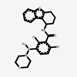 CC(=O)N(c1ccc(Cl)c(C(=O)NC2CCCc3oc4ccccc4c32)c1Cl)N1CCOCC1